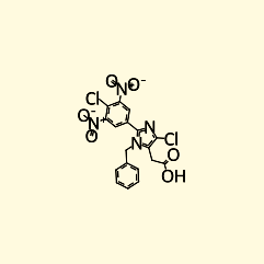 O=C(O)Cc1c(Cl)nc(-c2cc([N+](=O)[O-])c(Cl)c([N+](=O)[O-])c2)n1Cc1ccccc1